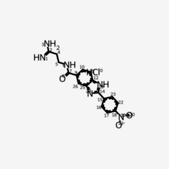 Cl.N=C(N)CCNC(=O)c1ccc2[nH]c(-c3ccc([N+](=O)[O-])cc3)nc2c1